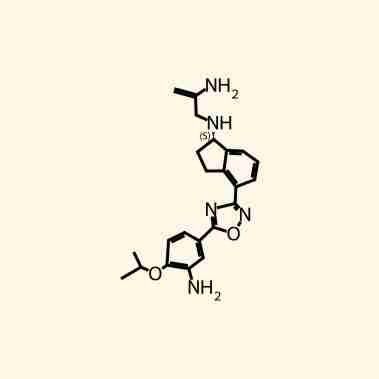 C=C(N)CN[C@H]1CCc2c(-c3noc(-c4ccc(OC(C)C)c(N)c4)n3)cccc21